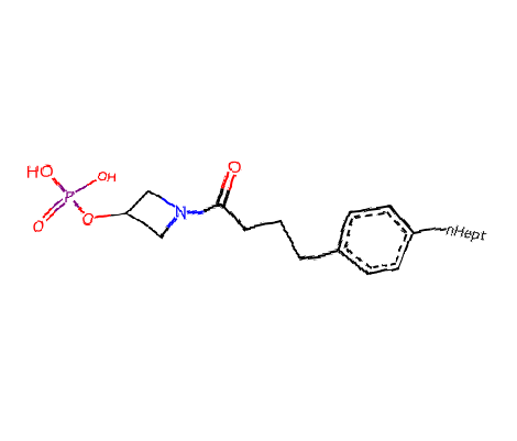 CCCCCCCc1ccc(CCCC(=O)N2CC(OP(=O)(O)O)C2)cc1